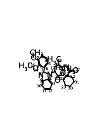 COc1cccc(-c2nc3ccccc3n2C(CC(C)C)C(=O)OC2(C(N)=O)CCCCC2)c1OC